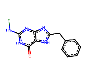 O=c1[nH]c(NF)nc2nc(Cc3ccccc3)[nH]c12